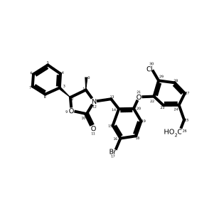 C[C@@H]1[C@H](c2ccccc2)OC(=O)N1Cc1cc(Br)ccc1Oc1cc(CC(=O)O)ccc1Cl